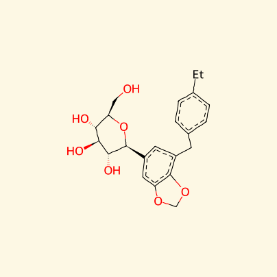 CCc1ccc(Cc2cc([C@@H]3O[C@H](CO)[C@@H](O)[C@H](O)[C@H]3O)cc3c2OCO3)cc1